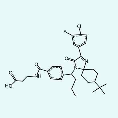 CCCC(c1ccc(C(=O)NCCC(=O)O)cc1)N1C(=O)C(c2ccc(Cl)c(F)c2)=NC12CCC(C(C)(C)C)CC2